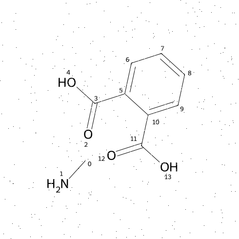 CN.O=C(O)c1ccccc1C(=O)O